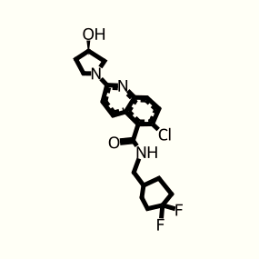 O=C(NCC1CCC(F)(F)CC1)c1c(Cl)ccc2nc(N3CC[C@@H](O)C3)ccc12